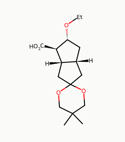 CCO[C@@H]1C[C@@H]2CC3(C[C@@H]2[C@H]1C(=O)O)OCC(C)(C)CO3